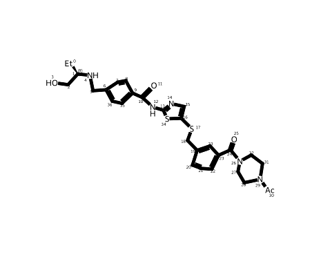 CC[C@H](CO)NCc1ccc(C(=O)Nc2ncc(SCc3cccc(C(=O)N4CCN(C(C)=O)CC4)c3)s2)cc1